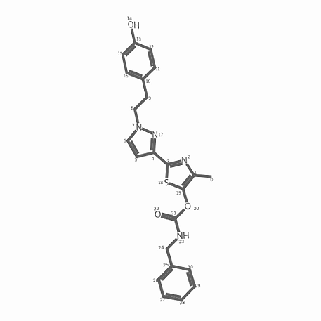 Cc1nc(-c2ccn(CCc3ccc(O)cc3)n2)sc1OC(=O)NCc1ccccc1